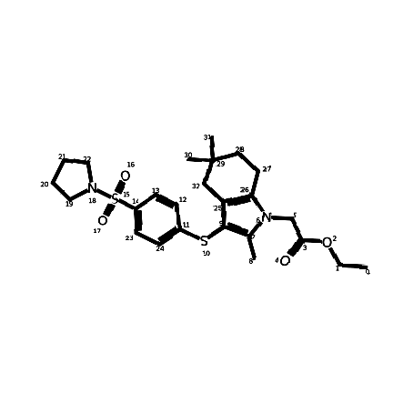 CCOC(=O)Cn1c(C)c(Sc2ccc(S(=O)(=O)N3CCCC3)cc2)c2c1CCC(C)(C)C2